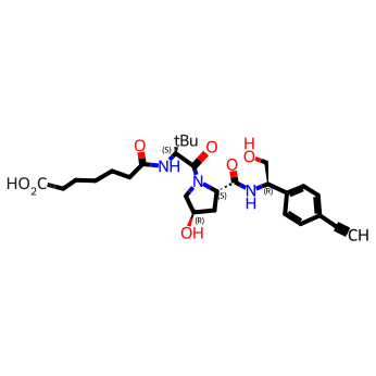 C#Cc1ccc([C@H](CO)NC(=O)[C@@H]2C[C@@H](O)CN2C(=O)[C@@H](NC(=O)CCCCCC(=O)O)C(C)(C)C)cc1